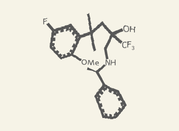 COc1ccc(F)cc1C(C)(C)CC(O)(CN[C@H](C)c1ccccc1)C(F)(F)F